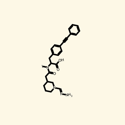 NN=CN1CCCC(CC(=O)N(I)C(Cc2ccc(C#Cc3ccccc3)cc2)C(=O)O)C1